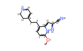 COc1ccc(CCC2=CC=NCC2)c2cc(C#N)nn12